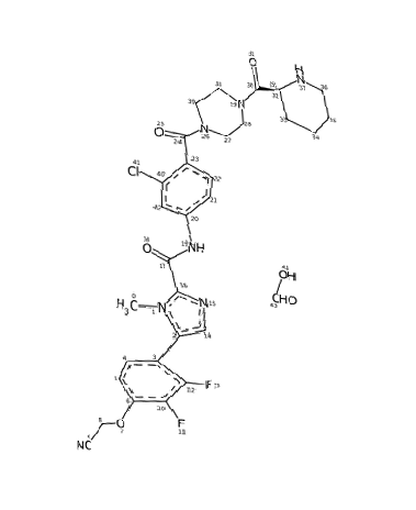 Cn1c(-c2ccc(OCC#N)c(F)c2F)cnc1C(=O)Nc1ccc(C(=O)N2CCN(C(=O)[C@@H]3CCCCN3)CC2)c(Cl)c1.O=CO